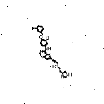 Fc1cccc(COc2ccc(Nc3ncnc4cc(C#CCNCCc5c[nH]cn5)sc34)cc2Cl)c1